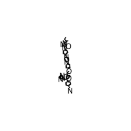 CCC(C)n1ncn(-c2ccc(N3CCN(c4ccc(OCC5COC(Cn6nccn6)(c6ccc(C#N)cc6)O5)cc4)CC3)cc2)c1=O